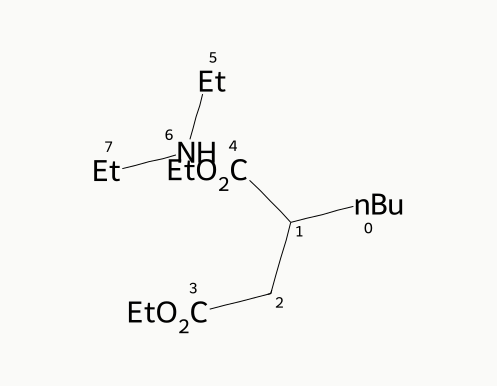 CCCCC(CC(=O)OCC)C(=O)OCC.CCNCC